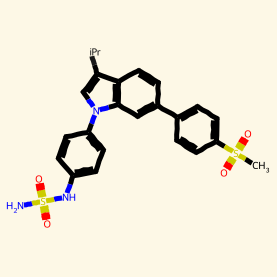 CC(C)c1cn(-c2ccc(NS(N)(=O)=O)cc2)c2cc(-c3ccc(S(C)(=O)=O)cc3)ccc12